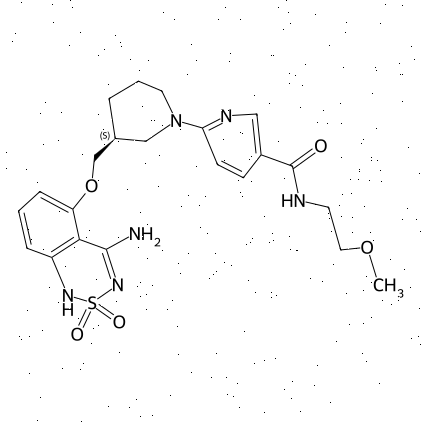 COCCNC(=O)c1ccc(N2CCC[C@H](COc3cccc4c3C(N)=NS(=O)(=O)N4)C2)nc1